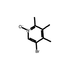 Cc1c(Br)[c][n+]([O-])c(C)c1C